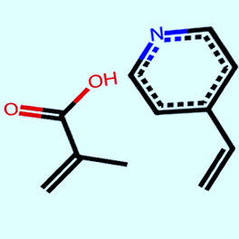 C=C(C)C(=O)O.C=Cc1ccncc1